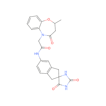 CC1CC(=O)N(CC(=O)Nc2ccc3c(c2)CC2(C3)NC(=O)NC2=O)c2ccccc2O1